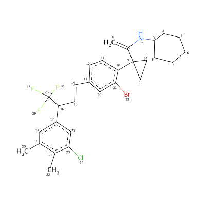 C=C(NC1CCCCC1)C1(c2ccc(/C=C/C(c3cc(C)c(C)c(Cl)c3)C(F)(F)F)cc2Br)CC1